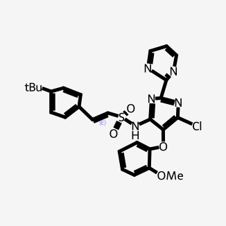 COc1ccccc1Oc1c(Cl)nc(-c2ncccn2)nc1NS(=O)(=O)/C=C/c1ccc(C(C)(C)C)cc1